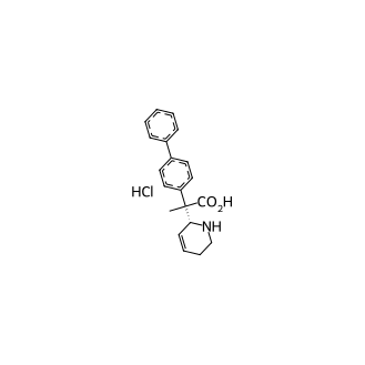 CC(C(=O)O)(c1ccc(-c2ccccc2)cc1)[C@H]1C=CCCN1.Cl